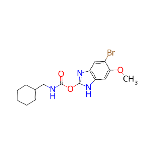 COc1cc2[nH]c(OC(=O)NCC3CCCCC3)nc2cc1Br